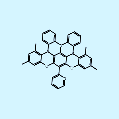 Cc1cc(C)c2c(c1)Oc1c3c4c5c(c1-c1ccccn1)Oc1cc(C)cc(C)c1B5c1ccccc1N4c1ccccc1B23